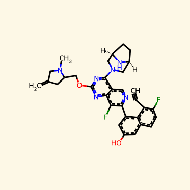 C#Cc1c(F)ccc2cc(O)cc(-c3ncc4c(N5C[C@H]6CC[C@@H](C5)N6)nc(OCC5CC(=C)CN5C)nc4c3F)c12